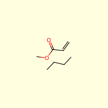 C=CC(=O)OC.CCCC